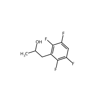 CC(O)Cc1c(F)c(F)cc(F)c1F